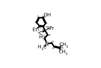 CCc1ccc(O)cc1[C@@](C)(CCN(C)CC=C(C)C)C(C)C